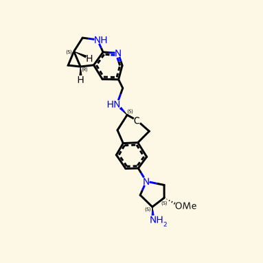 CO[C@H]1CN(c2ccc3c(c2)CC[C@H](NCc2cnc4c(c2)[C@@H]2C[C@@H]2CN4)C3)C[C@@H]1N